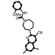 COc1ccccc1NC(=O)N1CCCN(c2nc3cc(C)cc(C)c3cc2C#N)CC1